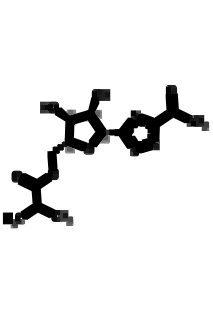 CC(C)C(=O)OC[C@H]1O[C@@H](c2nc(C(N)=O)ns2)[C@H](O)[C@@H]1O